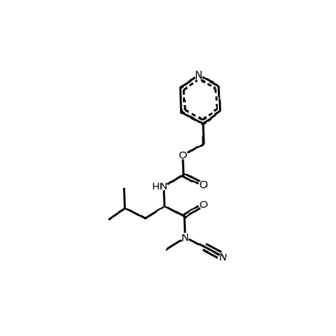 CC(C)CC(NC(=O)OCc1ccncc1)C(=O)N(C)C#N